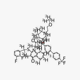 [2H]c1c(C)c([2H])c2c(c1[2H])c(=O)c([2H])c(SC([2H])([2H])c1cccc(F)c1F)n2C([2H])([2H])C(=O)N(C([2H])([2H])c1ccc(-c2ccc(C(F)(F)F)cc2)cc1)C1([2H])C([2H])([2H])C([2H])([2H])N(CCOC([2H])([2H])[2H])C([2H])([2H])C1([2H])[2H]